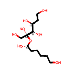 OCCCCC[C@H](O)O[C@@](O)(CO)[C@@H](O)[C@@H](O)CCO